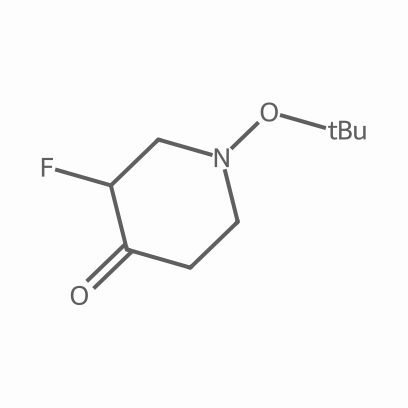 CC(C)(C)ON1CCC(=O)C(F)C1